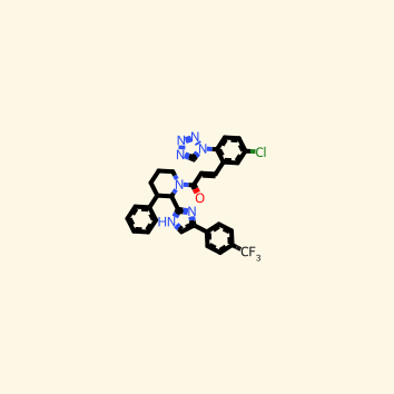 O=C(C=Cc1cc(Cl)ccc1-n1cnnn1)N1CCCC(c2ccccc2)C1c1nc(-c2ccc(C(F)(F)F)cc2)c[nH]1